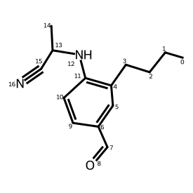 CCCCc1cc(C=O)ccc1NC(C)C#N